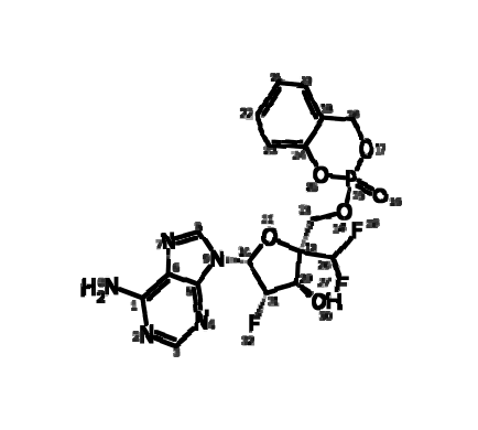 Nc1ncnc2c1ncn2[C@@H]1O[C@@](COP2(=O)OCc3ccccc3O2)(C(F)F)[C@@H](O)[C@@H]1F